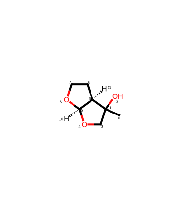 CC1(O)CO[C@H]2OCC[C@H]21